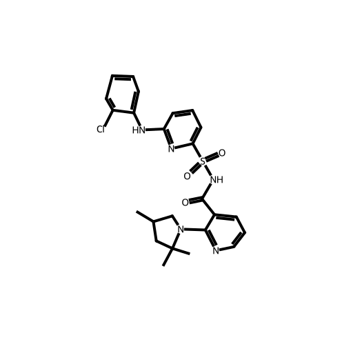 CC1CN(c2ncccc2C(=O)NS(=O)(=O)c2cccc(Nc3ccccc3Cl)n2)C(C)(C)C1